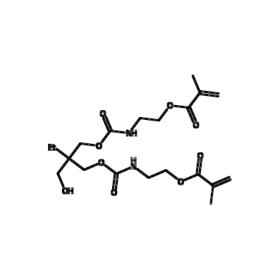 C=C(C)C(=O)OCCNC(=O)OCC(CC)(CO)COC(=O)NCCOC(=O)C(=C)C